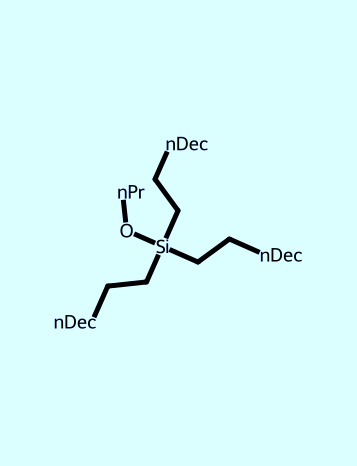 CCCCCCCCCCCC[Si](CCCCCCCCCCCC)(CCCCCCCCCCCC)OCCC